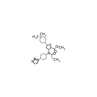 CCC(=O)N(c1cc(C2CCC(C)(C)CC2)sc1C(=O)OC)C1CCC(n2ccnn2)CC1